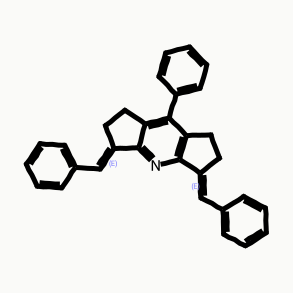 C(=C1/CCc2c1nc1c(c2-c2ccccc2)CC/C1=C\c1ccccc1)/c1ccccc1